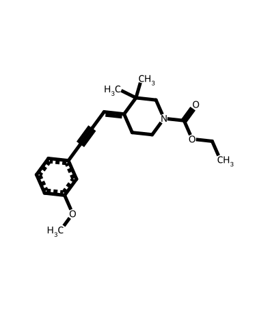 CCOC(=O)N1CC/C(=C\C#Cc2cccc(OC)c2)C(C)(C)C1